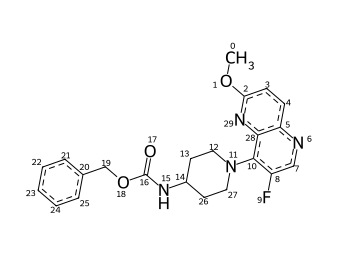 COc1ccc2ncc(F)c(N3CCC(NC(=O)OCc4ccccc4)CC3)c2n1